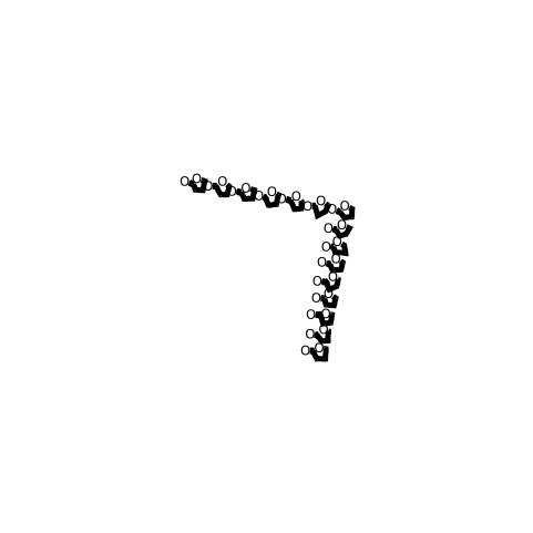 O=C1CCCO1.O=C1CCCO1.O=C1CCCO1.O=C1CCCO1.O=C1CCCO1.O=C1CCCO1.O=C1CCCO1.O=C1CCCO1.O=C1CCCO1.O=C1CCCO1.O=C1CCCO1.O=C1CCCO1.O=C1CCCO1.O=C1CCCO1.O=C1CCCO1